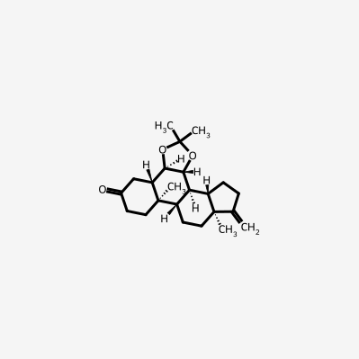 C=C1CC[C@H]2[C@@H]3[C@H]4OC(C)(C)O[C@@H]4[C@H]4CC(=O)CC[C@]4(C)[C@H]3CC[C@]12C